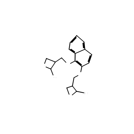 CCC1OCC1COc1ccc2ccccc2c1OCC1COC1CC